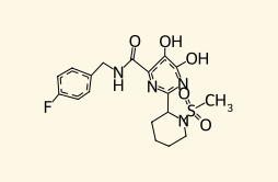 CS(=O)(=O)N1CCCCC1c1nc(O)c(O)c(C(=O)NCc2ccc(F)cc2)n1